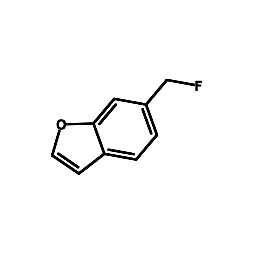 FCc1ccc2ccoc2c1